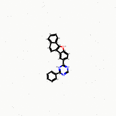 c1ccc(-c2ncnc(-c3ccc4oc5c6ccccc6ccc5c4c3)n2)cc1